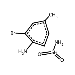 Cc1ccc(N)c(Br)c1.N[SH](=O)=O